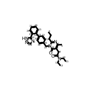 CCCc1nc(C)c(CC(=O)N(CC)CC)c(=O)n1Cc1ccc(-c2ccccc2-c2nnn[nH]2)cc1